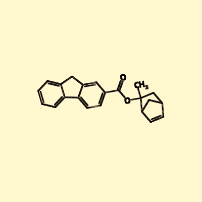 CC1(OC(=O)c2ccc3c(c2)Cc2ccccc2-3)CC2C=CC1C2